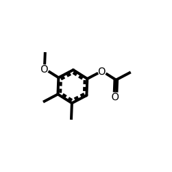 COc1cc(OC(C)=O)cc(C)c1C